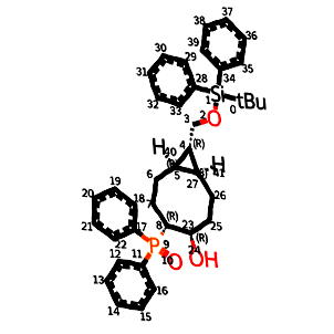 CC(C)(C)[Si](OC[C@H]1[C@@H]2CC[C@@H](P(=O)(c3ccccc3)c3ccccc3)[C@H](O)CC[C@@H]21)(c1ccccc1)c1ccccc1